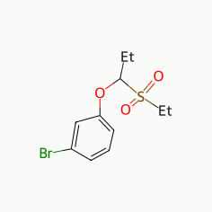 CCC(Oc1cccc(Br)c1)S(=O)(=O)CC